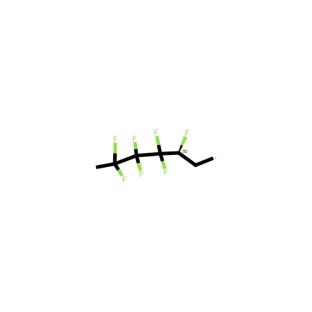 [CH2]C[C@H](F)C(F)(F)C(F)(F)C(C)(F)F